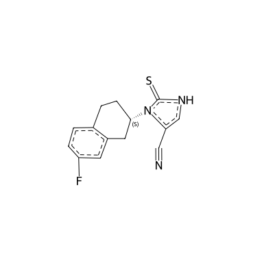 N#Cc1c[nH]c(=S)n1[C@H]1CCc2ccc(F)cc2C1